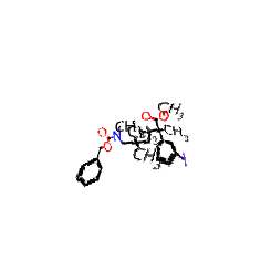 COC(=O)C(C)(CCC(C)(C)CN(C)C(=O)OCc1ccccc1)c1cccc(I)c1